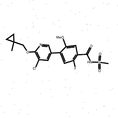 COc1cc(C(=O)NS(C)(=O)=O)c(F)cc1-c1cnc(OCC2(C)CC2)c(Cl)c1